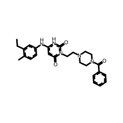 CCc1cc(Nc2cc(=O)n(CCN3CCN(C(=O)c4ccccc4)CC3)c(=O)[nH]2)ccc1C